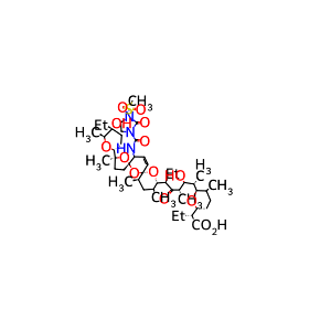 CC[C@@H](C(=O)[C@@H](C)[C@@H](O)[C@H](C)[C@@H]1O[C@@H]([C@@H](CC)C(=O)O)CC[C@@H]1C)[C@H]1O[C@]2(C=CC(NC(=O)N3CCN(S(C)(=O)=O)C3=O)[C@]3(CC[C@@](C)([C@H]4CC[C@](O)(CC)[C@H](C)O4)O3)O2)[C@H](C)C[C@@H]1C